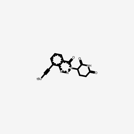 CC(C)(C)C#Cc1cccc2c(=O)n(C3CCC(=O)NC3=O)nnc12